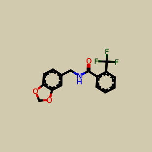 O=C(NCc1ccc2c(c1)OCO2)c1ccccc1C(F)(F)F